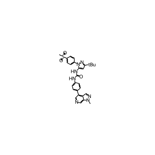 Cn1ncc2c(-c3ccc(NC(=O)Nc4cc(C(C)(C)C)nn4-c4ccc(S(C)(=O)=O)cc4)cc3)cncc21